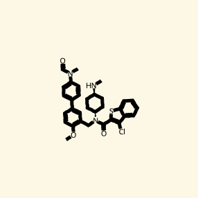 CN[C@H]1CC[C@H](N(Cc2cc(-c3ccc(N(C)C=O)cc3)ccc2OC)C(=O)c2sc3ccccc3c2Cl)CC1